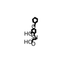 O=C(O)C1CN=C(c2ccc(OCc3ccccc3)cc2O)S1